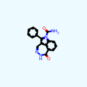 NC(=O)n1c(-c2ccccc2)c2c3c(c[c]cc31)C(=O)NN=C2